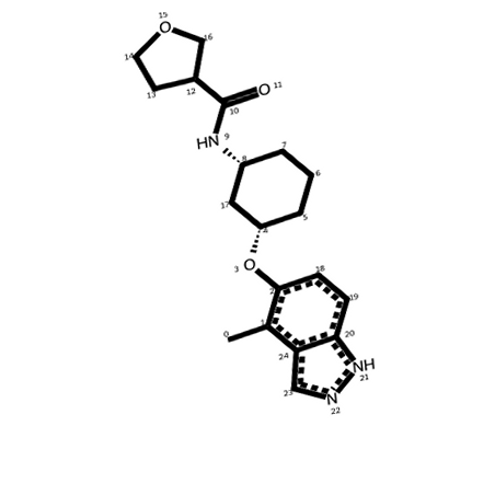 Cc1c(O[C@H]2CCC[C@@H](NC(=O)C3CCOC3)C2)ccc2[nH]ncc12